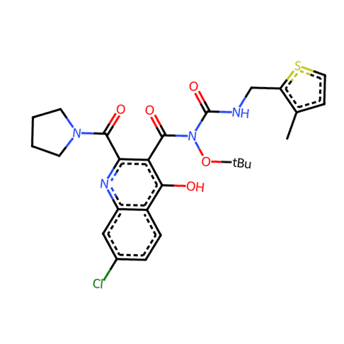 Cc1ccsc1CNC(=O)N(OC(C)(C)C)C(=O)c1c(C(=O)N2CCCC2)nc2cc(Cl)ccc2c1O